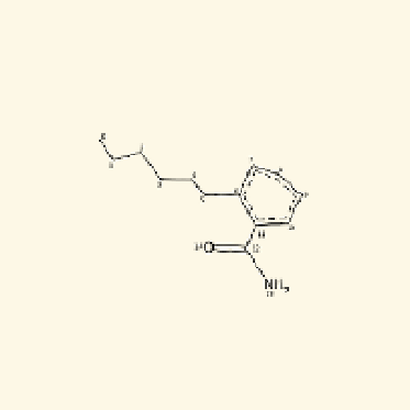 CCCCCCc1ccccc1C(N)=O